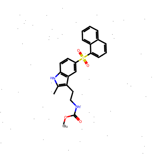 Cc1[nH]c2ccc(S(=O)(=O)c3cccc4ccccc34)cc2c1CCNC(=O)OC(C)(C)C